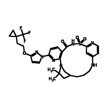 CC1(C)CC2CCCNc3ccnc(c3)S(=O)(=O)NC(=O)c3ccc(-n4ccc(OCCC5(C(F)(F)F)CC5)n4)nc3N1C2